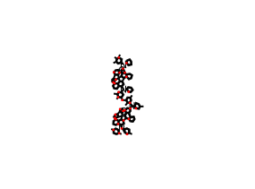 Cc1ccc(N(c2ccc3c4c(c5ccccc5c3c2)-c2cc(N(c3ccc(C)cc3)c3cc(C)ccc3C)c3ccccc3c2C42c3ccccc3-c3ccccc32)c2cc(C)cc(Cc3cc(N(c4ccccc4)c4cc5c(c6ccccc46)C4(c6ccccc6-c6ccccc64)c4c-5c5ccccc5c5cc(N(c6ccccc6)c6cc(C)c(C)c(C)c6)ccc45)cc(C)c3C)c2C)cc1